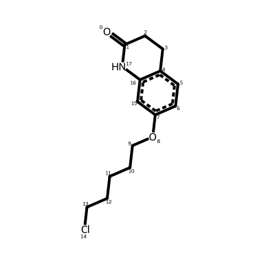 O=C1CCc2ccc(OCCCCCCl)cc2N1